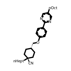 CCCCCCCCc1cnc(-c2ccc(OC[C@H]3CC[C@@](C#N)(CCCCCCC)CC3)cc2)nc1